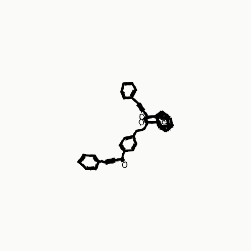 O=C(C#Cc1ccccc1)c1ccc(CCC(=O)[C]23[CH]4[CH]5[CH]6[CH]2[Fe]56432789[CH]3[CH]2[CH]7[C]8(C(=O)C#Cc2ccccc2)[CH]39)cc1